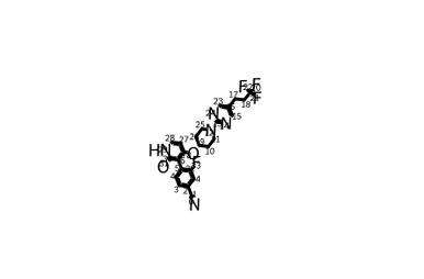 N#Cc1ccc(-c2c(OC3CCN(c4ncc(CCC(F)(F)F)cn4)CC3)cc[nH]c2=O)c(F)c1